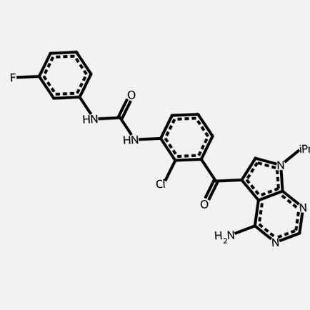 CC(C)n1cc(C(=O)c2cccc(NC(=O)Nc3cccc(F)c3)c2Cl)c2c(N)ncnc21